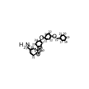 CS(=O)(=O)[N+]1(c2ccc(Oc3ccc(OCc4ccccc4)cc3)cc2)C=C(CN)C=CC1